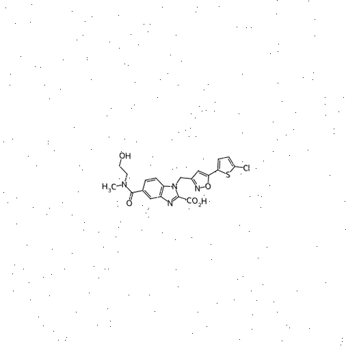 CN(CCO)C(=O)c1ccc2c(c1)nc(C(=O)O)n2Cc1cc(-c2ccc(Cl)s2)on1